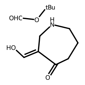 CC(C)(C)OC=O.O=C1CCCNCC1=CO